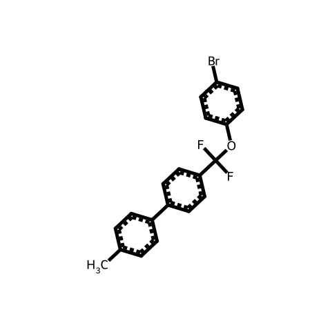 Cc1ccc(-c2ccc(C(F)(F)Oc3ccc(Br)cc3)cc2)cc1